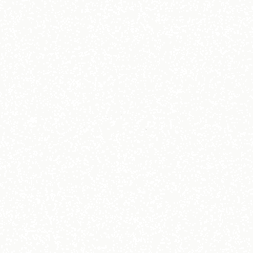 C=CC(=O)OC=C(C)CC